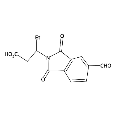 CCC(CC(=O)O)N1C(=O)c2ccc(C=O)cc2C1=O